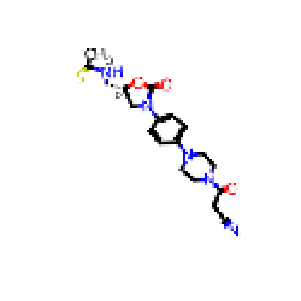 CC(=S)NC[C@H]1CN(c2ccc(N3CCN(C(=O)CC#N)CC3)cc2)C(=O)O1